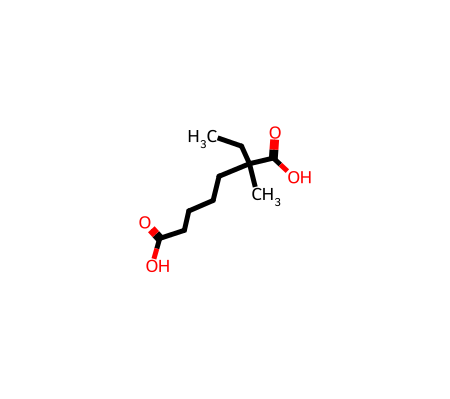 CCC(C)(CCCCC(=O)O)C(=O)O